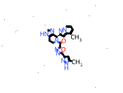 Cc1cc(-c2nnc(C(=O)N3CCc4[nH]cnc4[C@H]3c3cc4c(C)cccn4n3)o2)n[nH]1